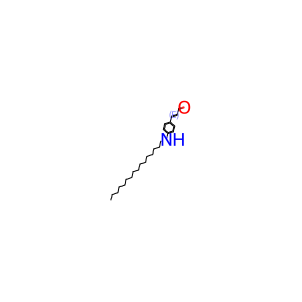 CCCCCCCCCCCCCCCCNc1ccc(/C=C/C=O)cc1